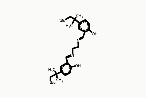 CC(C)(C)CC(C)(C)c1ccc(O)c(C=NCCN=Cc2cc(C(C)(C)CC(C)(C)C)ccc2O)c1